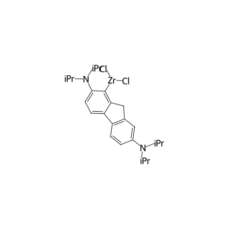 CC(C)N(c1ccc2c(c1)Cc1c-2ccc(N(C(C)C)C(C)C)[c]1[Zr]([Cl])[Cl])C(C)C